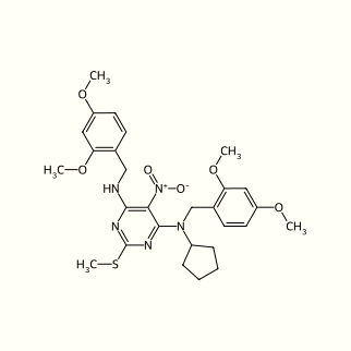 COc1ccc(CNc2nc(SC)nc(N(Cc3ccc(OC)cc3OC)C3CCCC3)c2[N+](=O)[O-])c(OC)c1